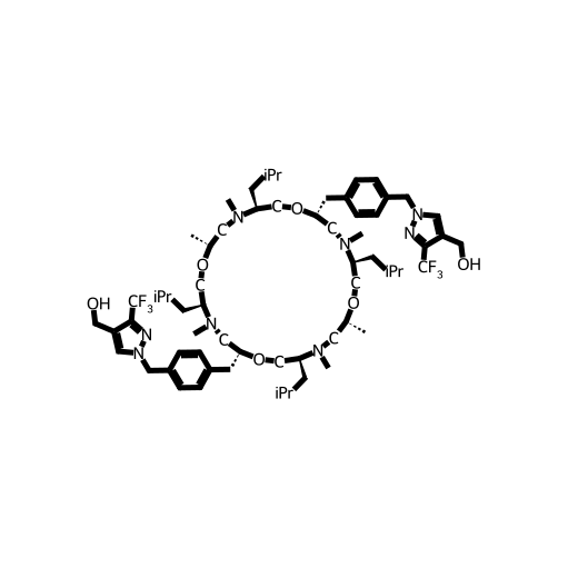 CC(C)C[C@H]1CO[C@H](C)CN(C)[C@@H](CC(C)C)CO[C@H](Cc2ccc(Cn3cc(CO)c(C(F)(F)F)n3)cc2)CN(C)[C@@H](CC(C)C)CO[C@H](C)CN(C)[C@@H](CC(C)C)CO[C@H](Cc2ccc(Cn3cc(CO)c(C(F)(F)F)n3)cc2)CN1C